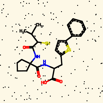 CC(C)C(S)C(=O)NC1(C(=O)NC(Cc2ccc(-c3ccccc3)s2)C(=O)O)CCCC1